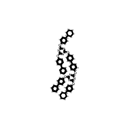 c1ccc(-c2ccc(Oc3nc(Oc4ccc(-c5ccc(Oc6nc(Oc7ccc(-c8ccccc8)cc7)nc(Oc7ccc(C8CCCCC8)cc7)n6)cc5)cc4)nc(Oc4ccc(C5CCCCC5)cc4)n3)cc2)cc1